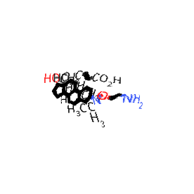 CC1(C)C2=CC[C@H]3[C@@H]4CC[C@H](O)[C@@]4(C)CC[C@@H]3[C@@]2(C)CC/C1=N\OCCN.O=C(O)/C=C/C(=O)O